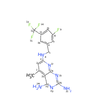 Cc1cc(NCc2cc(F)cc(C(F)(F)F)c2)nc2nc(N)nc(N)c12